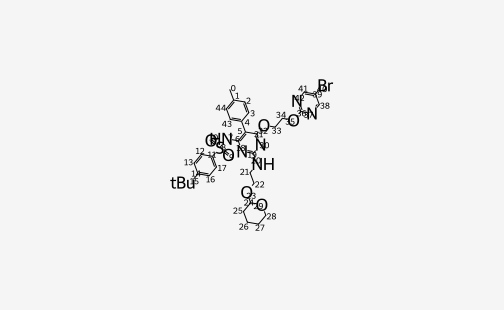 Cc1ccc(-c2c(NS(=O)(=O)c3ccc(C(C)(C)C)cc3)nc(NCCOC3CCCCO3)nc2OCCOc2ncc(Br)cn2)cc1